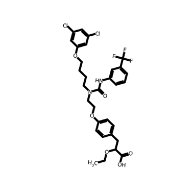 CCOC(Cc1ccc(OCCN(CCCCOc2cc(Cl)cc(Cl)c2)C(=O)Nc2cccc(C(F)(F)F)c2)cc1)C(=O)O